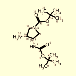 CC(C)(C)OC(=O)N[C@H]1CN(C(=O)OC(C)(C)C)C[C@H]1N